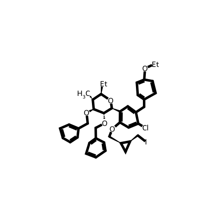 CCOc1ccc(Cc2cc([C@@H]3O[C@H](CC)[C@@H](C)[C@H](OCc4ccccc4)[C@H]3OCc3ccccc3)c(OC[C@@H]3C[C@@H]3CI)cc2Cl)cc1